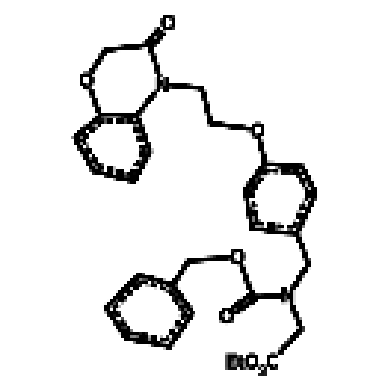 CCOC(=O)CN(Cc1ccc(OCCN2C(=O)COc3ccccc32)cc1)C(=O)OCc1ccccc1